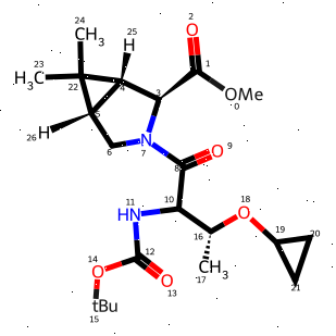 COC(=O)[C@@H]1[C@@H]2[C@H](CN1C(=O)C(NC(=O)OC(C)(C)C)[C@@H](C)OC1CC1)C2(C)C